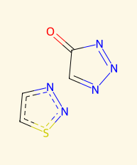 O=C1C=NN=N1.c1csnn1